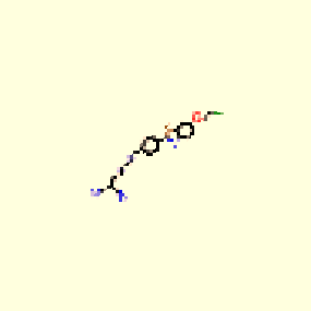 N#CC(C#N)=C/C=C/C=C/c1ccc(-c2nc3ccc(OCCF)cc3s2)cc1